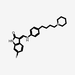 O=C1Nc2cc(F)ccc2/C1=C\Nc1ccc(CCCCN2CCCCC2)cc1